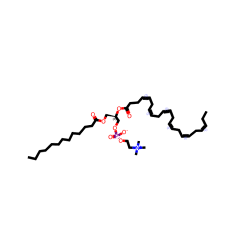 CC/C=C\C/C=C\C/C=C\C/C=C\C/C=C\C/C=C\CCC(=O)O[C@H](COC(=O)CCCCCCCCCCCC)COP(=O)([O-])OCC[N+](C)(C)C